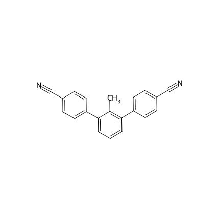 Cc1c(-c2ccc(C#N)cc2)cccc1-c1ccc(C#N)cc1